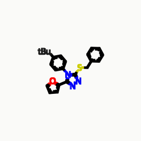 CC(C)(C)c1ccc(-n2c(SCc3ccccc3)nnc2-c2ccco2)cc1